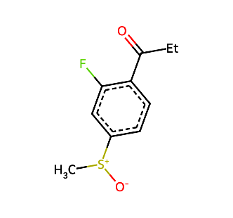 CCC(=O)c1ccc([S+](C)[O-])cc1F